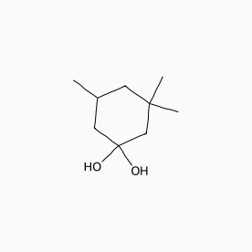 CC1CC(C)(C)CC(O)(O)C1